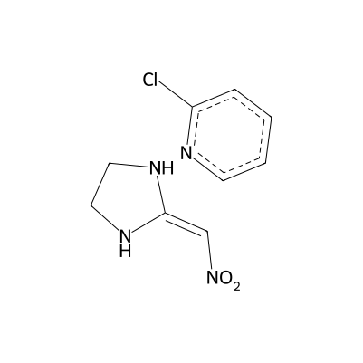 Clc1ccccn1.O=[N+]([O-])C=C1NCCN1